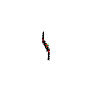 CCCCCCCCCCOc1ccc(C2CCC3(CC2)CC2(CCC(c4ccc(OCCCCCCCCCC)cc4)CC2)C3(Cl)Cl)cc1